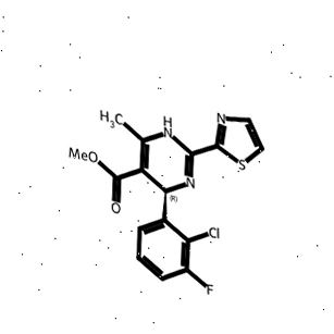 COC(=O)C1=C(C)NC(c2nccs2)=N[C@H]1c1cccc(F)c1Cl